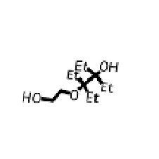 CCC(O)(CC)C(CC)(CC)OCCO